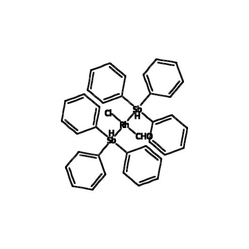 O=[CH][Rh]([Cl])([SbH]([c]1ccccc1)([c]1ccccc1)[c]1ccccc1)[SbH]([c]1ccccc1)([c]1ccccc1)[c]1ccccc1